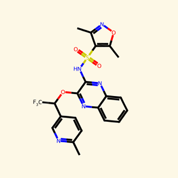 Cc1ccc(C(Oc2nc3ccccc3nc2NS(=O)(=O)c2c(C)noc2C)C(F)(F)F)cn1